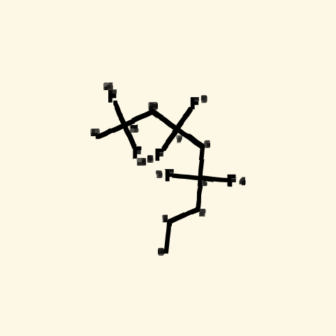 CCCC(F)(F)CC(F)(F)CC(C)(F)F